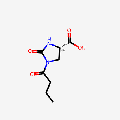 CCCC(=O)N1C[C@@H](C(=O)O)NC1=O